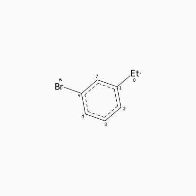 C[CH]c1cccc(Br)c1